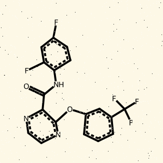 O=C(Nc1ccc(F)cc1F)c1nccnc1Oc1cccc(C(F)(F)F)c1